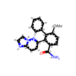 COc1ccc(C(N)=O)c(-c2ccc3nccn3n2)c1-c1ccccc1